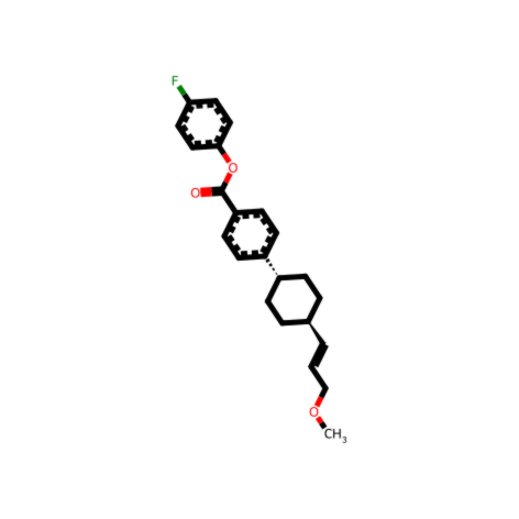 COC/C=C/[C@H]1CC[C@H](c2ccc(C(=O)Oc3ccc(F)cc3)cc2)CC1